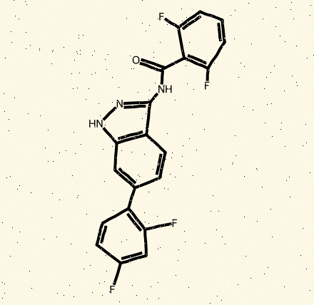 O=C(Nc1n[nH]c2cc(-c3ccc(F)cc3F)ccc12)c1c(F)cccc1F